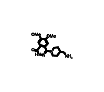 COc1cc2c(N3CCC(CN)CC3)n[nH]c(=O)c2cc1OC